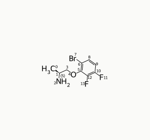 C[C@H](N)COc1c(Br)ccc(F)c1F